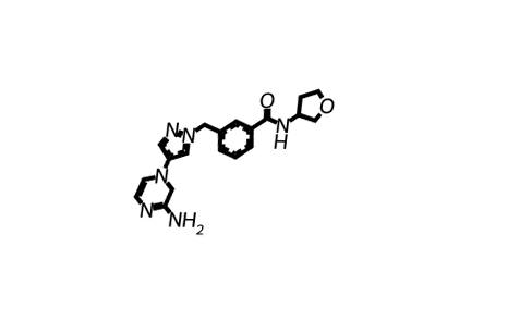 NC1=NC=CN(c2cnn(Cc3cccc(C(=O)NC4CCOC4)c3)c2)C1